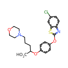 O=C(O)C(CCCN1CCOCC1)Oc1ccc(Oc2nc3ccc(Cl)cc3s2)cc1